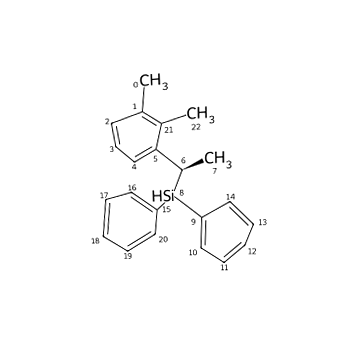 Cc1cccc([C@@H](C)[SiH](c2ccccc2)c2ccccc2)c1C